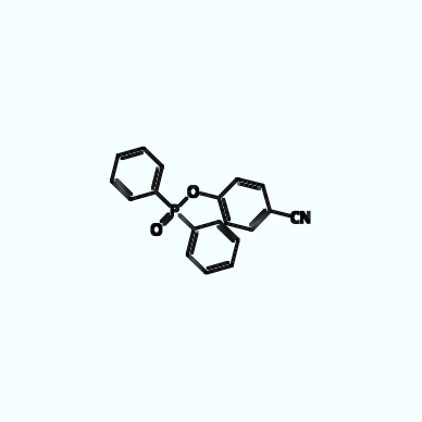 N#Cc1ccc(OP(=O)(c2ccccc2)c2ccccc2)cc1